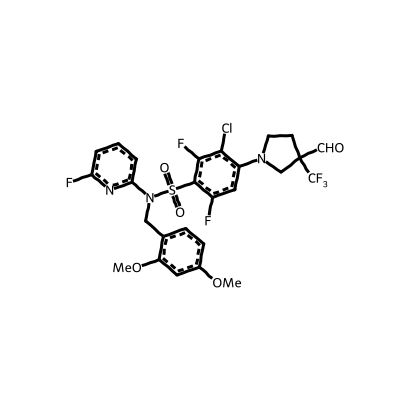 COc1ccc(CN(c2cccc(F)n2)S(=O)(=O)c2c(F)cc(N3CCC(C=O)(C(F)(F)F)C3)c(Cl)c2F)c(OC)c1